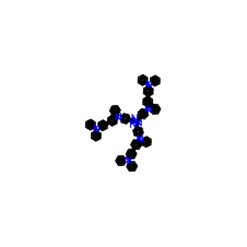 c1ccc(N(c2ccccc2)c2ccc(-c3ccc4c(c3)c3ccccc3n4-c3ccc(-c4nc(-c5ccc(-n6c7ccccc7c7cc(-c8ccc(N(c9ccccc9)c9ccccc9)cc8)ccc76)cc5)nc(-c5ccc(-n6c7ccccc7c7cc(-c8ccc(N(c9ccccc9)c9ccccc9)cc8)ccc76)cc5)n4)cc3)cc2)cc1